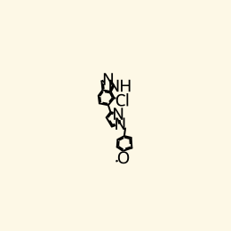 COc1ccc(Cn2ccc(-c3ccc4cn[nH]c4c3Cl)n2)cc1